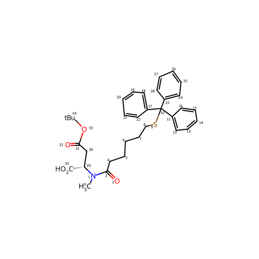 CN(C(=O)CCCCCSC(c1ccccc1)(c1ccccc1)c1ccccc1)[C@@H](CC(=O)OC(C)(C)C)C(=O)O